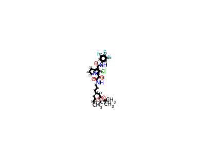 CCCC[C@@H](CCCNC(=O)C(=O)c1c(Cl)c(C(=O)Nc2cc(F)c(F)c(F)c2)c2n1CCC2)CC(=O)OC(C)(C)C